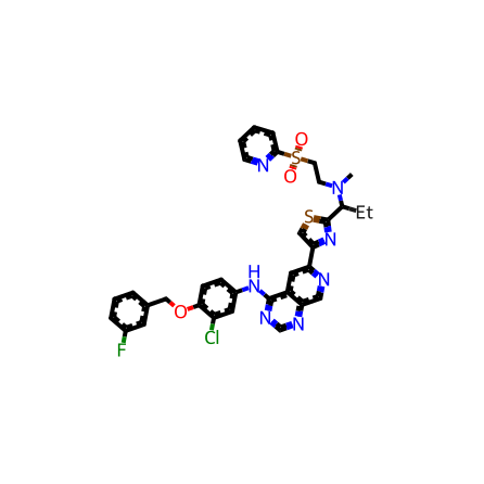 CCC(c1nc(-c2cc3c(Nc4ccc(OCc5cccc(F)c5)c(Cl)c4)ncnc3cn2)cs1)N(C)CCS(=O)(=O)c1ccccn1